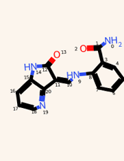 NC(=O)c1ccccc1NC=C1C(=O)Nc2cccnc21